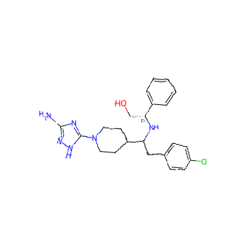 Nc1n[nH]c(N2CCC(C(Cc3ccc(Cl)cc3)N[C@H](CO)c3ccccc3)CC2)n1